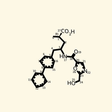 C[C@H](CC(Cc1ccc(-c2ccccc2)cc1)NC(=O)c1cnc(CO)o1)C(=O)O